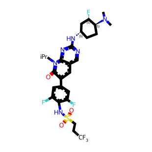 CC(C)n1c(=O)c(-c2cc(F)c(NS(=O)(=O)CCC(F)(F)F)c(F)c2)cc2cnc(N[C@H]3CC[C@H](N(C)C)[C@@H](F)C3)nc21